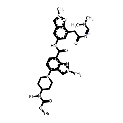 CCN(C(=O)OC(C)(C)C)C1CCN(c2ccc(C(=O)Nc3cc(CC(=O)/N=C\N(C)C)c4nn(C)cc4c3)c3nn(C)cc23)CC1